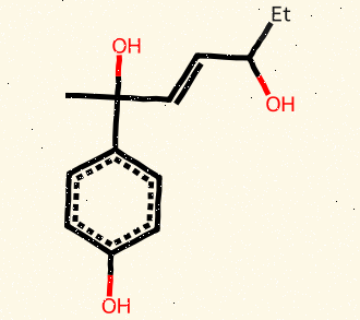 CCC(O)C=CC(C)(O)c1ccc(O)cc1